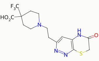 O=C1CSc2nnc(CCN3CCC(C(=O)O)(C(F)(F)F)CC3)cc2N1